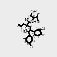 C=CC[C@@](N)(C[C@@H](c1cccc(Cl)c1)[C@@H](O)c1ccc(Cl)cc1)C(=O)NC(CO)C(C)C